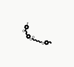 C=Cc1ccc(OCCCCCCC(=O)Oc2ccc(C=CC(=O)c3ccc(F)cc3)cc2)cc1